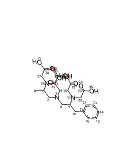 CC(CN(CC(=O)O)CC(Cc1ccccc1)N(CC(=O)O)CC(=O)O)N(CC(=O)O)CC(=O)O